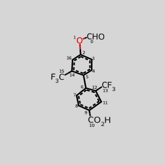 O=COc1ccc(-c2ccc(C(=O)O)cc2C(F)(F)F)c(C(F)(F)F)c1